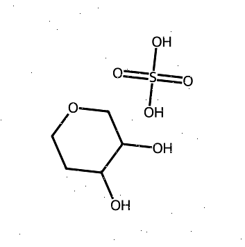 O=S(=O)(O)O.OC1CCOCC1O